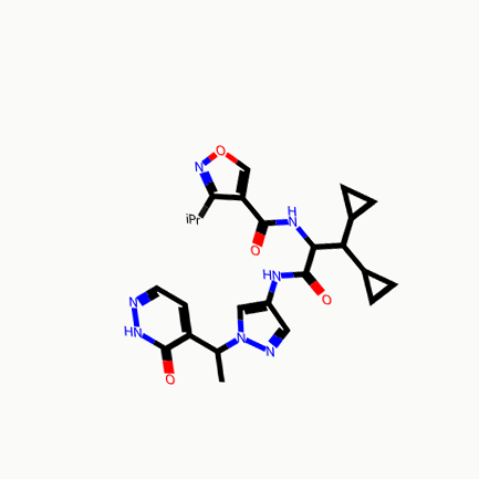 CC(C)c1nocc1C(=O)NC(C(=O)Nc1cnn(C(C)c2ccn[nH]c2=O)c1)C(C1CC1)C1CC1